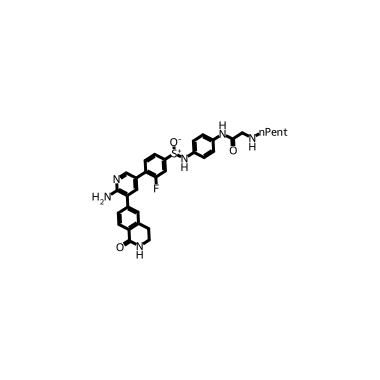 CCCCCNCC(=O)Nc1ccc(N[S+]([O-])c2ccc(-c3cnc(N)c(-c4ccc5c(c4)CCNC5=O)c3)c(F)c2)cc1